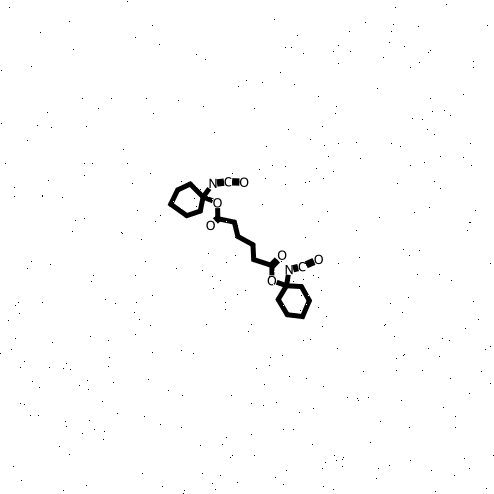 O=C=NC1(OC(=O)CCCCC(=O)OC2(N=C=O)CCCCC2)CCCCC1